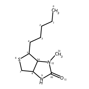 CCCCCC1SCC2NC(=O)N(C)C21